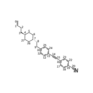 C=CCC[C@H]1CC[C@H](CCc2ccc(C#Cc3ccc(C#N)cc3)cc2)CC1